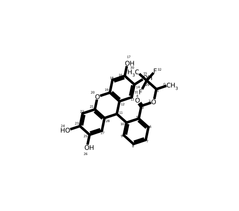 CC(OC(=O)c1ccccc1C1c2cc(O)c(O)cc2Oc2cc(O)c(O)cc21)C(C)(F)F